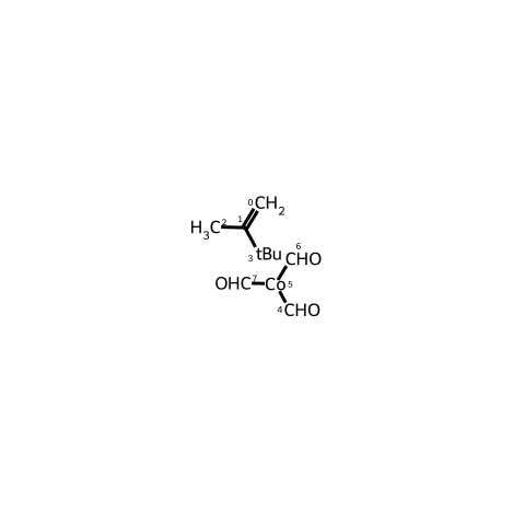 C=C(C)C(C)(C)C.O=[CH][Co]([CH]=O)[CH]=O